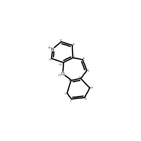 C1=CCC2=C(C=Cc3ccncc3O2)C1